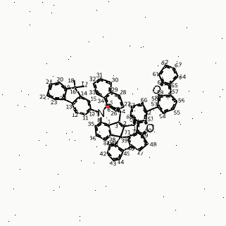 C=CC1=C(/C=C\C)c2c(N(c3ccc4c(c3)C(C)(C)c3ccccc3-4)c3cccc4ccccc34)cccc2C12c1ccccc1-c1ccc3oc4c(-c5cccc6c5oc5ccccc56)cccc4c3c12